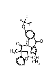 CCc1cc(C(=O)c2ccc(OC(F)(F)F)cc2)c(NC(=O)S(C)(CC(=O)O)c2ccccc2)s1